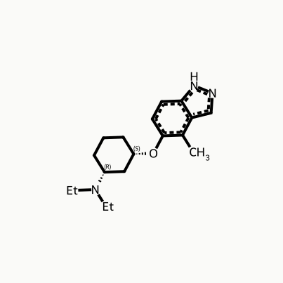 CCN(CC)[C@@H]1CCC[C@H](Oc2ccc3[nH]ncc3c2C)C1